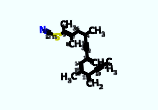 C=C(C#CC(C)C/C(C)=C(\C)SC#N)/C=C(/C)C(=C)C#CC